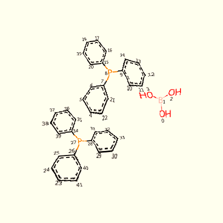 OB(O)O.c1ccc(P(c2ccccc2)c2ccccc2)cc1.c1ccc(P(c2ccccc2)c2ccccc2)cc1